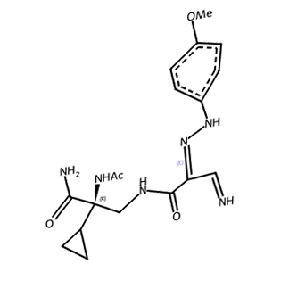 COc1ccc(N/N=C(\C=N)C(=O)NC[C@@](NC(C)=O)(C(N)=O)C2CC2)cc1